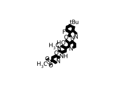 Cn1cc(-c2nccc(-n3ncc4cc(C(C)(C)C)cc(F)c4c3=O)c2CO)cc(Nc2ccc(S(C)(=O)=O)cn2)c1=O